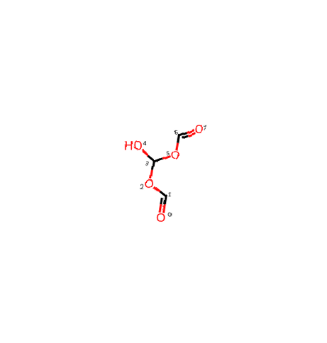 O=CO[C](O)OC=O